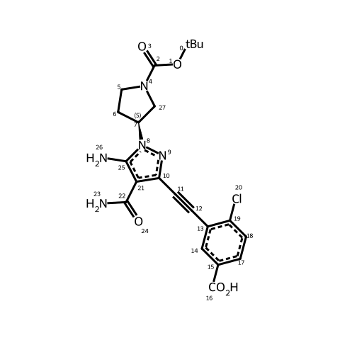 CC(C)(C)OC(=O)N1CC[C@H](n2nc(C#Cc3cc(C(=O)O)ccc3Cl)c(C(N)=O)c2N)C1